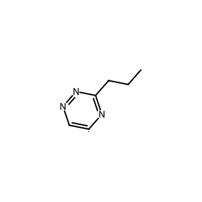 CCCc1n[c]cnn1